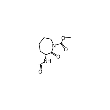 COC(=O)N1CCCC[C@H](N[C]=O)C1=O